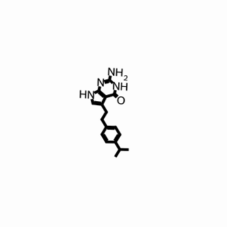 CC(C)c1ccc(CCc2c[nH]c3nc(N)[nH]c(=O)c23)cc1